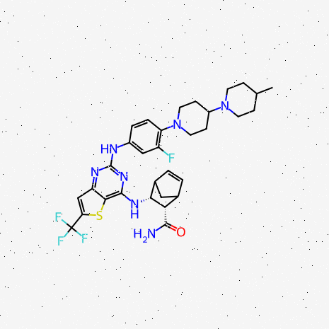 CC1CCN(C2CCN(c3ccc(Nc4nc(N[C@@H]5C6C=CC(C6)[C@@H]5C(N)=O)c5sc(C(F)(F)F)cc5n4)cc3F)CC2)CC1